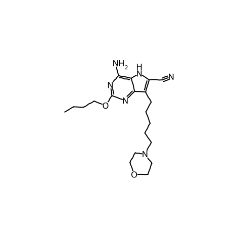 CCCCOc1nc(N)c2[nH]c(C#N)c(CCCCCN3CCOCC3)c2n1